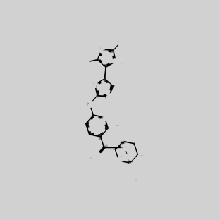 Cc1nc(C)c(-c2csc(Nc3ccc(C(=O)N4C[C@H]5CC[C@@H]4CO5)cn3)n2)s1